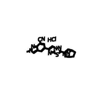 Cl.Cn1cc2cc(-c3cn4nc(C5=CC6CCC(C5)N6)sc4n3)cc(C#N)c2n1